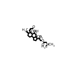 C/C=C1/CCC2C(C(O)CC3(C)C(C(=O)COC(=O)CN(C)C)CCC23)C1(C)/C=C\C=O